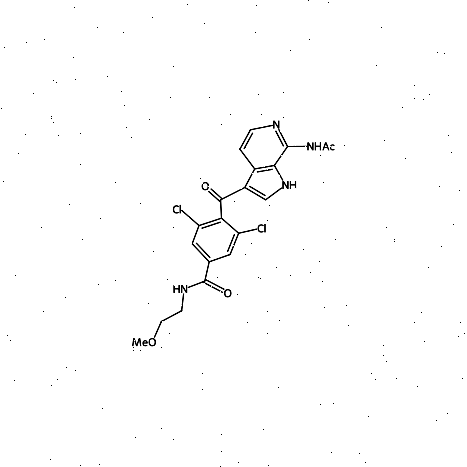 COCCNC(=O)c1cc(Cl)c(C(=O)c2c[nH]c3c(NC(C)=O)nccc23)c(Cl)c1